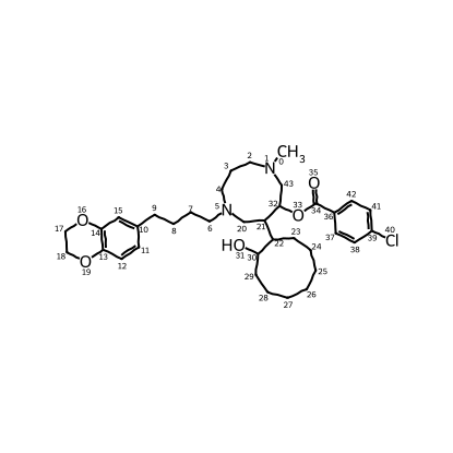 CN1CCCN(CCCCc2ccc3c(c2)OCCO3)CC(C2CCCCCCCC2O)C(OC(=O)c2ccc(Cl)cc2)C1